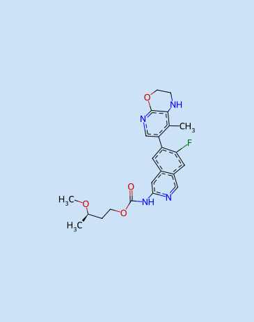 CO[C@H](C)CCOC(=O)Nc1cc2cc(-c3cnc4c(c3C)NCCO4)c(F)cc2cn1